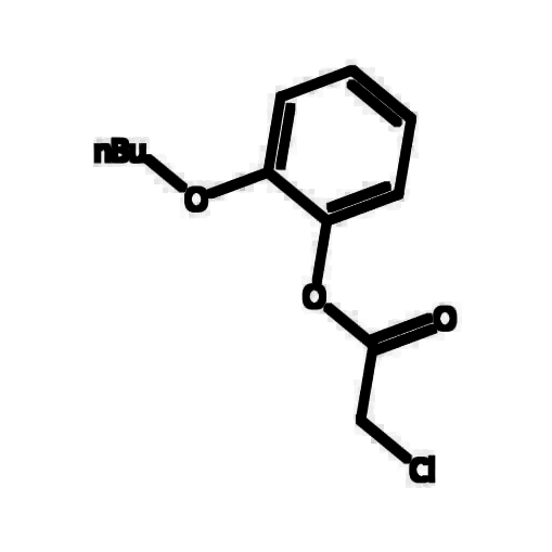 CCCCOc1ccccc1OC(=O)CCl